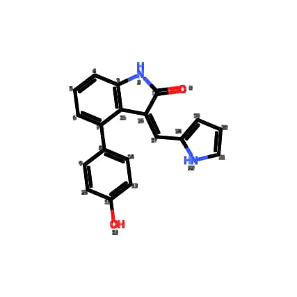 O=C1Nc2cccc(-c3ccc(O)cc3)c2/C1=C/c1ccc[nH]1